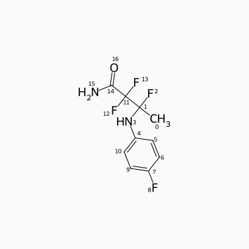 CC(F)(Nc1ccc(F)cc1)C(F)(F)C(N)=O